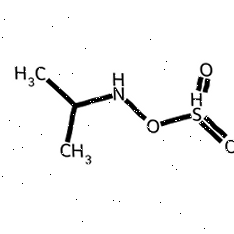 CC(C)NO[SH](=O)=O